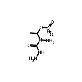 CC(O[SH](=O)=O)N(N)C(=O)NN